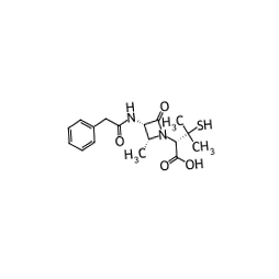 C[C@@H]1[C@H](NC(=O)Cc2ccccc2)C(=O)N1[C@@H](C(=O)O)C(C)(C)S